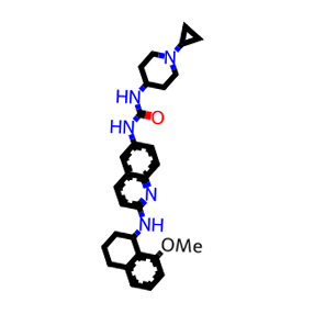 COc1cccc2c1C(Nc1ccc3cc(NC(=O)NC4CCN(C5CC5)CC4)ccc3n1)CCC2